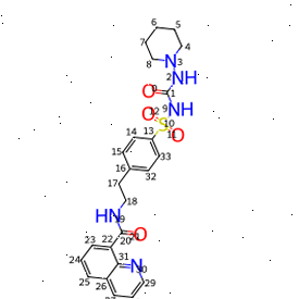 O=C(NN1CCCCC1)NS(=O)(=O)c1ccc(CCNC(=O)c2cccc3cccnc23)cc1